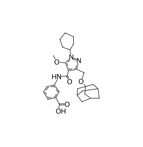 COc1c(C(=O)Nc2cccc(C(=O)O)c2)c(COC23CC4CC(CC(C4)C2)C3)nn1C1CCCCC1